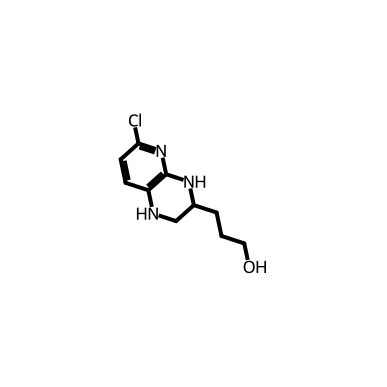 OCCCC1CNc2ccc(Cl)nc2N1